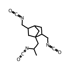 CC(CC12CC(CN=C=O)C(CC1CN=C=O)C2)N=C=O